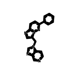 c1ccc(-c2ccc3ncc(Cn4cnc5cnccc54)n3n2)cc1